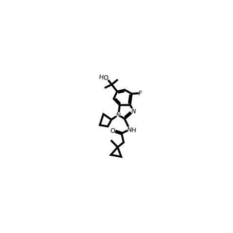 CC1(CC(=O)Nc2nc3c(F)cc(C(C)(C)O)cc3n2C2CCC2)CC1